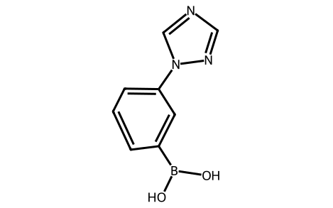 OB(O)c1cccc(-n2cncn2)c1